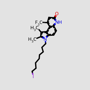 Cc1c(C)n(CCCCCCCCI)c2ccc3[nH]c(=O)cc(C(F)(F)F)c3c12